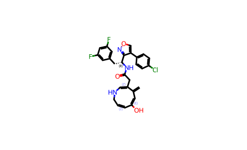 C=C1/C=C(O)\C=C/CN/C=C\1CC(=O)N[C@H](Cc1cc(F)cc(F)c1)c1nocc1-c1ccc(Cl)cc1